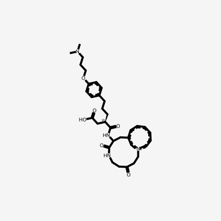 CN(C)CCCOc1ccc(CCC[C@H](CC(=O)O)C(=O)NC2Cc3ccccccn(c3)CCC(=O)CCNC2=O)cc1